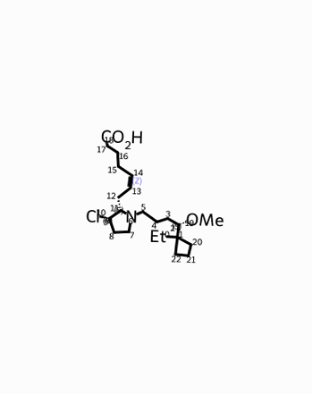 CCC1([C@H](CCCN2CC[C@@H](Cl)[C@@H]2C/C=C\CCCC(=O)O)OC)CCC1